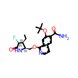 CC[C@@H]1[C@H](F)C(=O)N[C@@H]1COc1nccc2cc(C(N)=O)c(OC(C)(C)C)cc12